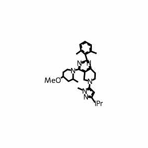 COC1CCN(c2nc(-c3c(C)cccc3C)nc3c2CN(c2cc(C(C)C)nn2C)CC3)C(C)C1